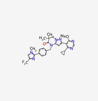 COc1ncnc(C2CC2)c1-c1cc2n(n1)CC(C)(C)C(=O)N2Cc1ccc(-c2nc(C(F)(F)F)cn2C)cc1